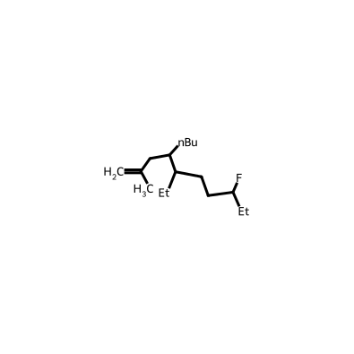 C=C(C)CC(CCCC)C(CC)CCC(F)CC